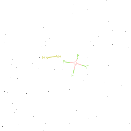 F[B-](F)(F)F.SS